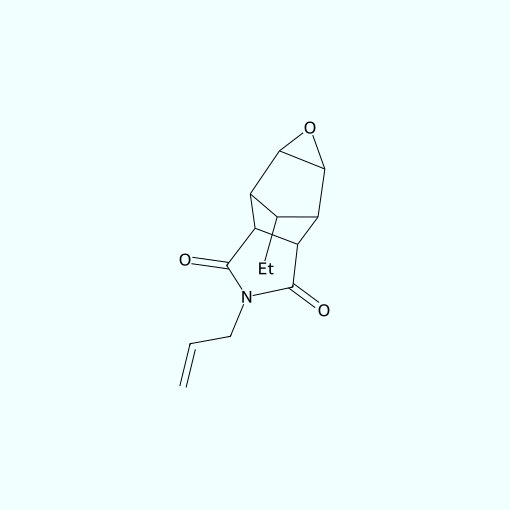 C=CCN1C(=O)C2C(C1=O)C1C(CC)C2C2OC21